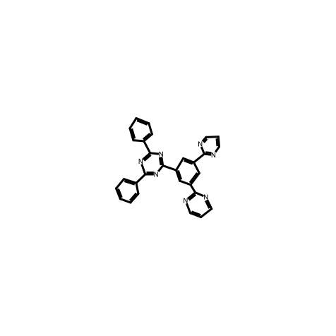 c1ccc(-c2nc(-c3ccccc3)nc(-c3cc(-c4ncccn4)cc(-c4ncccn4)c3)n2)cc1